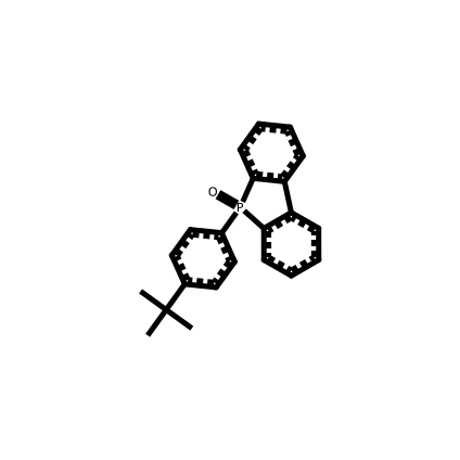 CC(C)(C)c1ccc(P2(=O)c3ccccc3-c3ccccc32)cc1